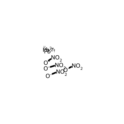 O=[N+]([O-])[O-].O=[N+]([O-])[O-].O=[N+]([O-])[O-].O=[N+]([O-])[O-].[Pb+2].[Pb+2]